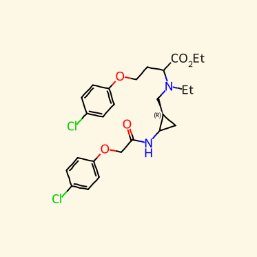 CCOC(=O)C(CCOc1ccc(Cl)cc1)N(CC)C[C@H]1CC1NC(=O)COc1ccc(Cl)cc1